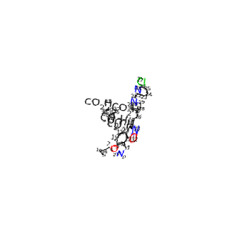 CN(C)Cc1c(OCC2CC2)ccc2c(CCC3CCN(Cc4cccc(Cl)n4)CC3)noc12.O=C(O)/C=C/C(=O)O.O=C(O)/C=C/C(=O)O